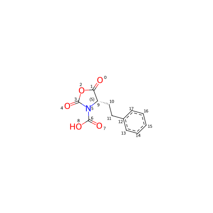 O=C1OC(=O)N(C(=O)O)[C@H]1CCc1ccccc1